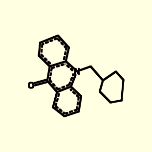 O=c1c2ccccc2n(CC2CCCCC2)c2ccccc12